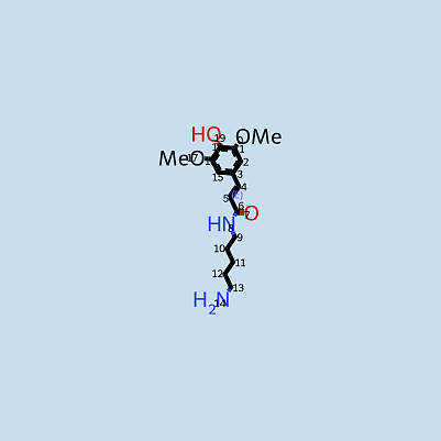 COc1cc(/C=C/C(=O)NCCCCCN)cc(OC)c1O